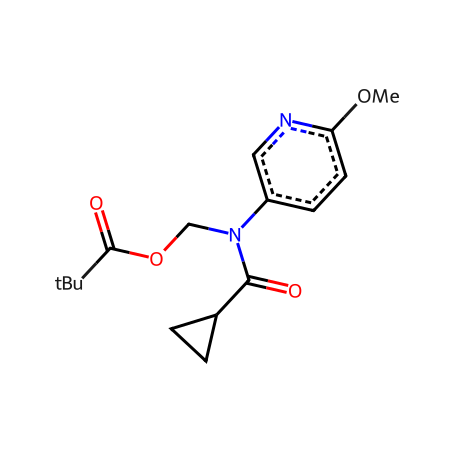 COc1ccc(N(COC(=O)C(C)(C)C)C(=O)C2CC2)cn1